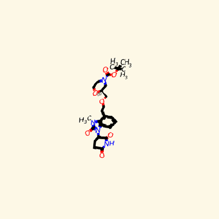 Cn1c(=O)n(C2CCC(=O)NC2=O)c2cccc(CCOC[C@@H]3CN(C(=O)OC(C)(C)C)CCO3)c21